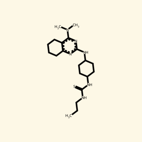 CCCNC(=S)NC1CCC(Nc2nc3c(c(N(C)C)n2)CCCC3)CC1